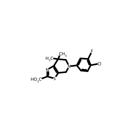 CC1(C)CN(c2ccc(Cl)c(F)c2)Cc2sc(C(=O)O)nc21